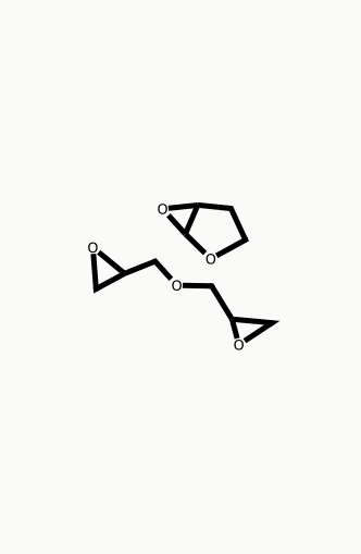 C(OCC1CO1)C1CO1.C1CC2OC2O1